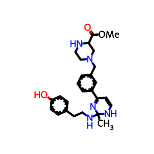 COC(=O)C1CN(Cc2cccc(C3=NC(C)(NCCc4ccc(O)cc4)NC=C3)c2)CCN1